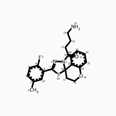 Cc1ccc(F)c(C2=NN(C(=O)CCCN)C3(CCOc4ccccc43)S2)c1